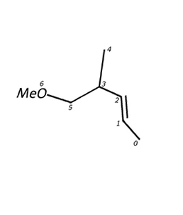 C/C=C/C(C)COC